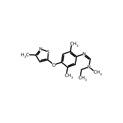 CCN(C)/C=N\c1cc(C)c(Oc2cc(C)ns2)cc1C